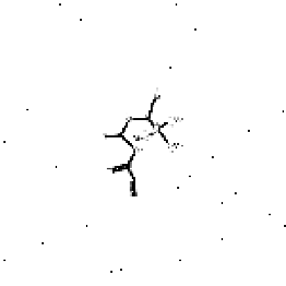 C=CC(=O)OC(C)OC(CC)[Si](OC)(OC)OC